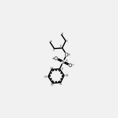 CCC(CC)OS(=O)(=O)c1ccccc1